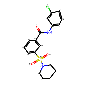 O=C(Nc1cccc(Cl)c1)c1cccc(S(=O)(=O)N2CCCCC2)c1